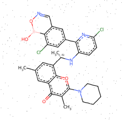 Cc1cc([C@H](C)Nc2ccc(Cl)nc2-c2cc(Cl)c3c(c2)C=NOB3O)c2oc(N3CCCCC3)c(C)c(=O)c2c1